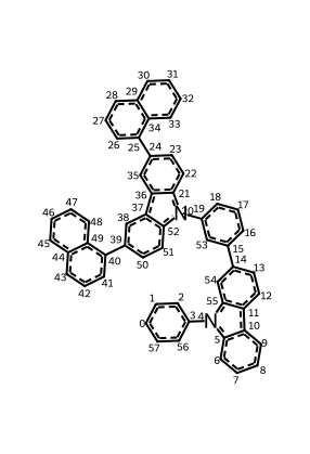 c1ccc(-n2c3ccccc3c3ccc(-c4cccc(-n5c6ccc(-c7cccc8ccccc78)cc6c6cc(-c7cccc8ccccc78)ccc65)c4)cc32)cc1